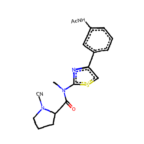 CC(=O)Nc1cccc(-c2csc(N(C)C(=O)C3CCCN3C#N)n2)c1